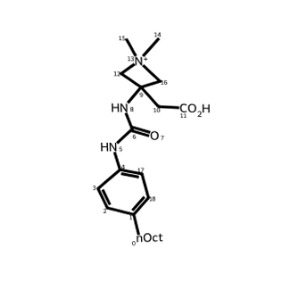 CCCCCCCCc1ccc(NC(=O)NC2(CC(=O)O)C[N+](C)(C)C2)cc1